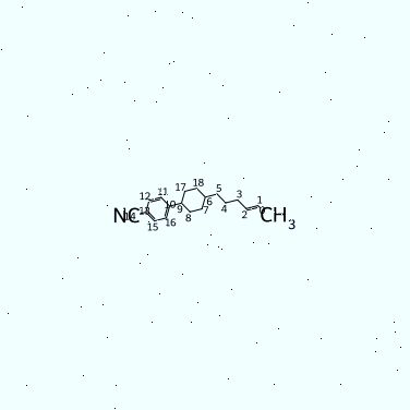 C/C=C/CCCC1CCC(c2ccc(C#N)cc2)CC1